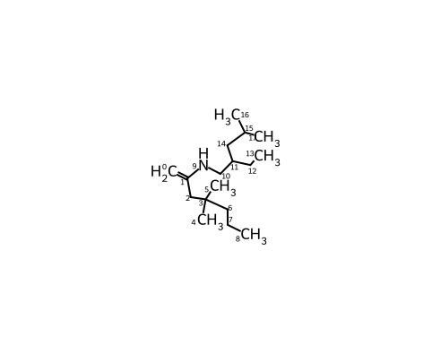 C=C(CC(C)(C)CCC)NCC(CC)CC(C)C